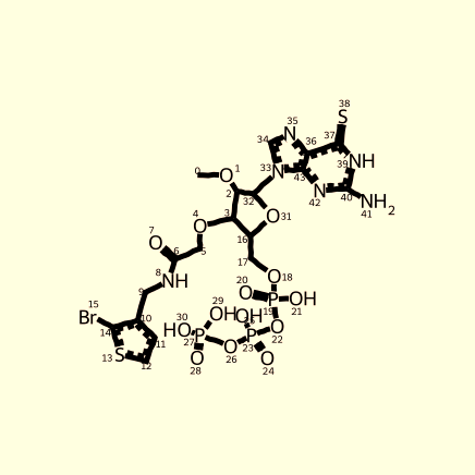 COC1C(OCC(=O)NCc2ccsc2Br)C(COP(=O)(O)OP(=O)(O)OP(=O)(O)O)OC1n1cnc2c(=S)[nH]c(N)nc21